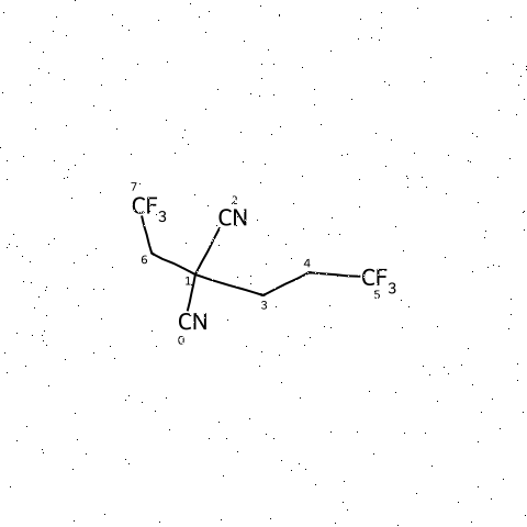 N#CC(C#N)(CCC(F)(F)F)CC(F)(F)F